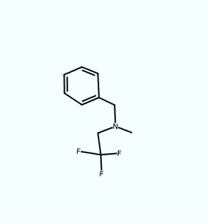 CN(Cc1cc[c]cc1)CC(F)(F)F